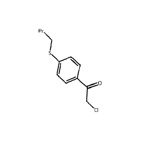 CC(C)CSc1ccc(C(=O)CCl)cc1